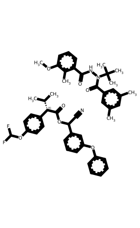 CC(C)[C@H](C(=O)OC(C#N)c1cccc(Oc2ccccc2)c1)c1ccc(OC(F)F)cc1.COc1cccc(C(=O)NN(C(=O)c2cc(C)cc(C)c2)C(C)(C)C)c1C